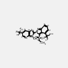 CCS(=O)(=O)c1c2c(C(F)(F)F)cccc2nn1-c1nc2cc(C(F)(F)F)cnc2n1C